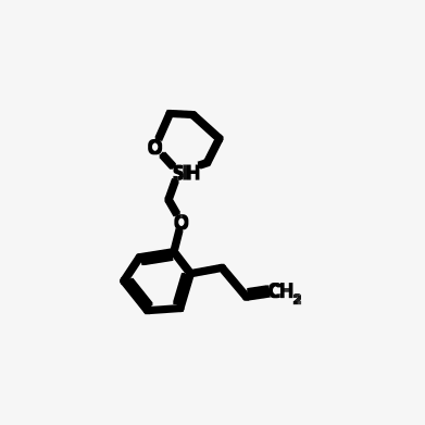 C=CCc1ccccc1OC[SiH]1CCCCO1